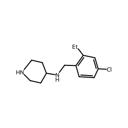 CCc1cc(Cl)ccc1CNC1CCNCC1